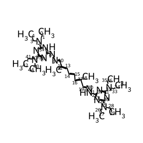 CCN(CC)c1nc(N/N=C/C(C)=C/C=C/C=C(C)/C=N/Nc2nc(N(CC)CC)nc(N(CC)CC)n2)nc(N(CC)CC)n1